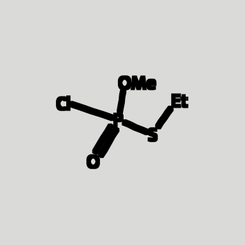 CCSP(=O)(Cl)OC